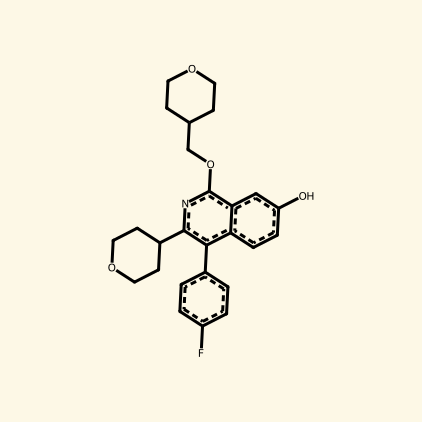 Oc1ccc2c(-c3ccc(F)cc3)c(C3CCOCC3)nc(OCC3CCOCC3)c2c1